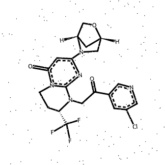 O=C(CN1c2nc(N3C[C@@H]4C[C@H]3CO4)cc(=O)n2CC[C@H]1C(F)(F)F)c1cncc(Cl)c1